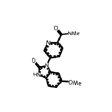 CNC(=O)c1ccc(-n2c(=O)[nH]c3ccc(OC)cc32)cn1